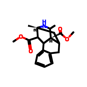 COC(=O)C1C2c3ccccc3CC3C[C@]1(C)NC(C)[C@@]32C(=O)OC